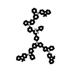 CC1(C)c2ccccc2-c2ccc(-n3c4ccccc4c4cc(-c5ccc6c(c5)c5ccccc5n6-c5cccc(-c6cc(-c7ccc(-n8c9ccc(-c%10ccc%11c(c%10)c%10ccccc%10n%11-c%10ccc%11c(c%10)C(C)(C)c%10ccccc%10-%11)cc9c9cc(-c%10ccc%11c(c%10)c%10ccccc%10n%11-c%10ccc%11c(c%10)C(C)(C)c%10ccccc%10-%11)ccc98)cc7)nc(-c7ccccc7)n6)c5)ccc43)cc21